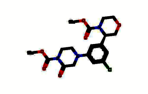 CC(C)(C)OC(=O)N1CCN(c2cc(Cl)cc([C@@H]3COCCN3C(=O)OC(C)(C)C)c2)CC1=O